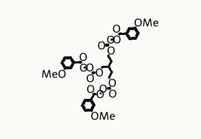 COc1cccc(C(=O)OOC(=O)OCCC(CCOC(=O)OOC(=O)c2cccc(OC)c2)COC(=O)OOC(=O)c2cccc(OC)c2)c1